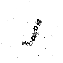 COc1ccc(S(=O)(=O)NCc2ccc(B3OC(C)(C)C(C)(C)O3)cc2)cc1